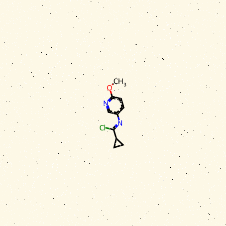 COc1ccc(N=C(Cl)C2CC2)cn1